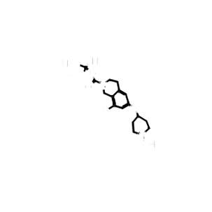 CN1CCC(Oc2cc(Br)c3c(c2)CCN(C(=O)OC(C)(C)C)C3)CC1